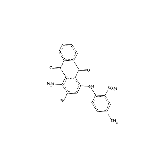 Cc1ccc(Nc2cc(Br)c(N)c3c2C(=O)c2ccccc2C3=O)c(S(=O)(=O)O)c1